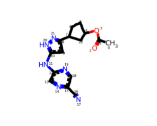 CC(=O)OC1CCC(c2cc(Nc3cnc(C#N)cn3)[nH]n2)C1